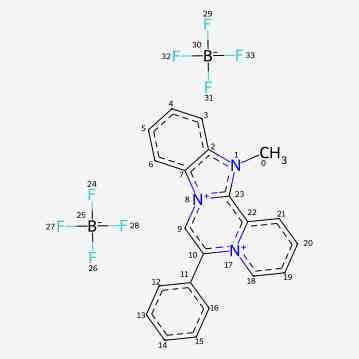 Cn1c2ccccc2[n+]2cc(-c3ccccc3)[n+]3ccccc3c12.F[B-](F)(F)F.F[B-](F)(F)F